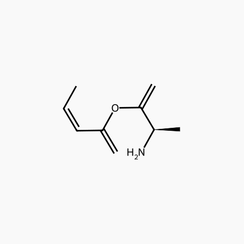 C=C(/C=C\C)OC(=C)[C@@H](C)N